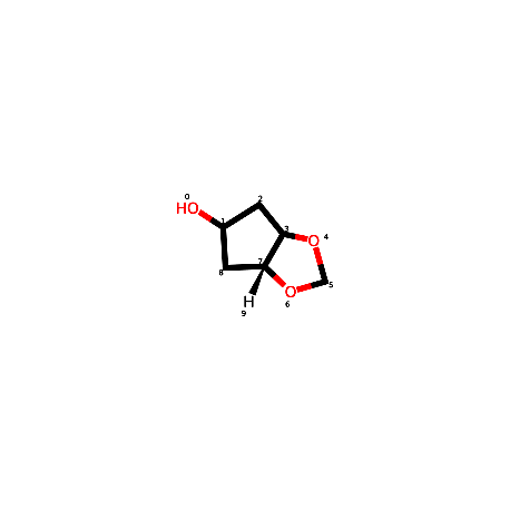 OC1CC2OCO[C@@H]2C1